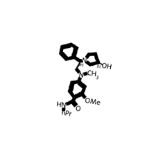 CCCNC(=O)c1ccc(N(C)C[C@@H](c2ccccc2)N2CC[C@H](O)C2)cc1OC